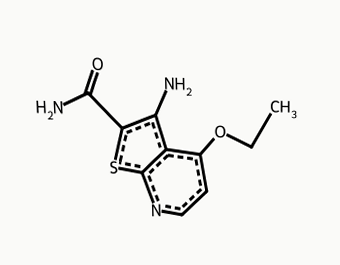 CCOc1ccnc2sc(C(N)=O)c(N)c12